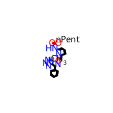 CCCCCOC(=O)Nc1cccc(CON=C(c2ccccc2)c2nnnn2C)n1